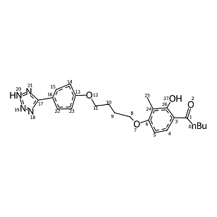 CCCCC(=O)c1ccc(OCCCCOc2ccc(-c3nn[nH]n3)cc2)c(C)c1O